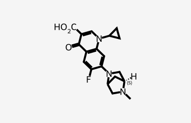 CN1CC2C[C@H]1CN2c1cc2c(cc1F)c(=O)c(C(=O)O)cn2C1CC1